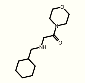 O=C(CNCC1CCCCC1)N1CCOCC1